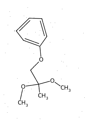 COC(C)(COc1c[c]ccc1)OC